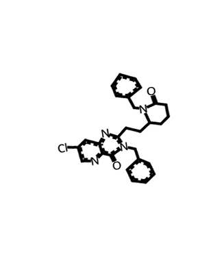 O=C1CCCC(CCc2nc3cc(Cl)cnc3c(=O)n2Cc2ccccc2)N1Cc1ccccc1